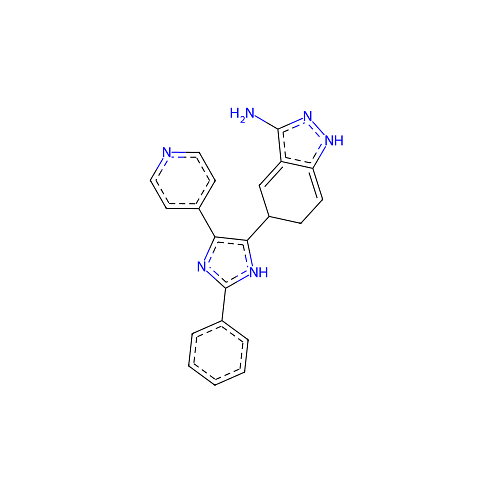 Nc1n[nH]c2c1=CC(c1[nH]c(-c3ccccc3)nc1-c1ccncc1)CC=2